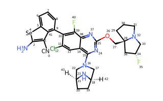 N#Cc1c(N)[se]c2cccc(-c3c(Cl)cc4c(N5C[C@H]6CC[C@@H](C5)N6)nc(OC[C@@]56CCCN5C[C@H](F)C6)nc4c3F)c12